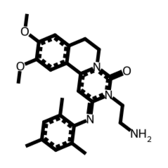 COc1cc2c(cc1OC)-c1cc(=Nc3c(C)cc(C)cc3C)n(CCN)c(=O)n1CC2